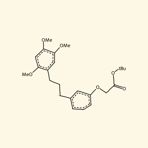 COc1cc(OC)c(OC)cc1CC[CH]c1cccc(OCC(=O)OC(C)(C)C)c1